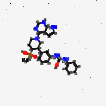 CS(=O)(=O)C1CCN(c2ncnc3[nH]ccc23)CC1c1cccc(NC(=O)Nc2ccccc2)c1